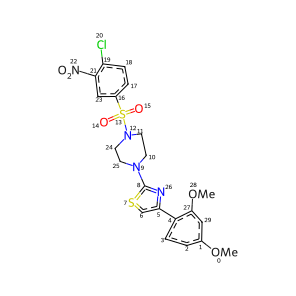 COc1ccc(-c2csc(N3CCN(S(=O)(=O)c4ccc(Cl)c([N+](=O)[O-])c4)CC3)n2)c(OC)c1